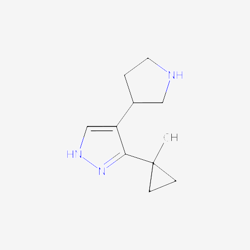 CC1(c2n[nH]cc2C2CCNC2)CC1